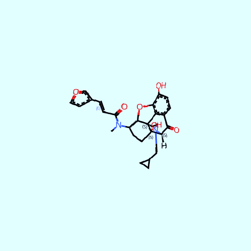 CN(C(=O)/C=C/c1ccoc1)C1CC[C@@]2(O)[C@H]3C(=O)c4ccc(O)c5c4[C@@]2(CCN3CC2CC2)C1O5